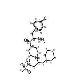 CCN(CC(CC1CCCCC1)N1CCN(C(=O)C(N)Cc2ccc(Cl)cc2)CC1)S(C)(=O)=O